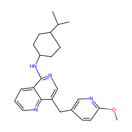 COc1ccc(Cc2cnc(NC3CCC(C(C)C)CC3)c3cccnc23)cn1